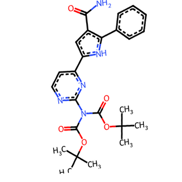 CC(C)(C)OC(=O)N(C(=O)OC(C)(C)C)c1nccc(-c2cc(C(N)=O)c(-c3ccccc3)[nH]2)n1